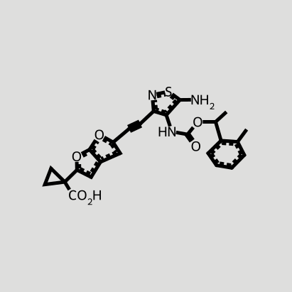 Cc1ccccc1C(C)OC(=O)Nc1c(C#Cc2cc3cc(C4(C(=O)O)CC4)oc3o2)nsc1N